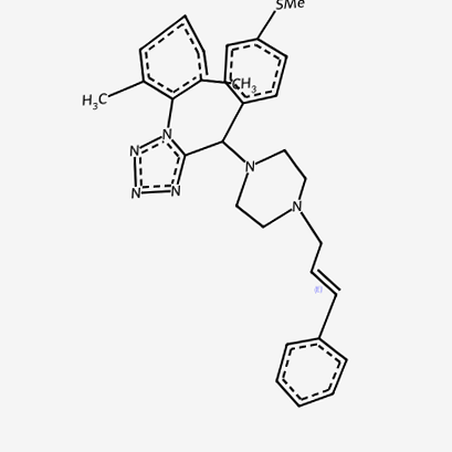 CSc1ccc(C(c2nnnn2-c2c(C)cccc2C)N2CCN(C/C=C/c3ccccc3)CC2)cc1